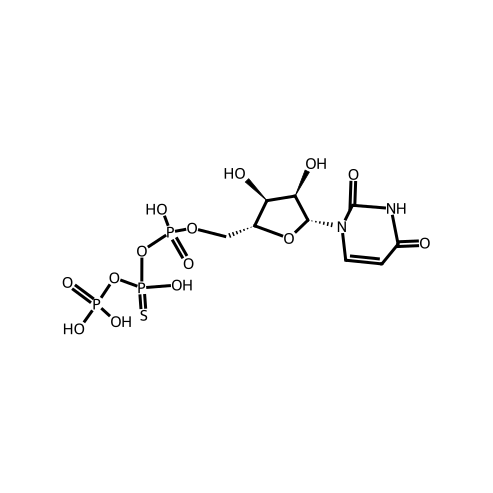 O=c1ccn([C@@H]2O[C@H](COP(=O)(O)OP(O)(=S)OP(=O)(O)O)[C@@H](O)[C@H]2O)c(=O)[nH]1